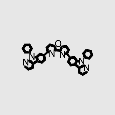 c1ccc(-n2c3cc(-c4ccc5oc6ccc(-c7ccc8c9cccnc9n(-c9ccccc9)c8c7)nc6c5n4)ccc3c3cccnc32)cc1